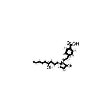 CCCCC[C@H](O)CCCN1CCC(=O)N1CCc1ccc(C(=O)O)cc1